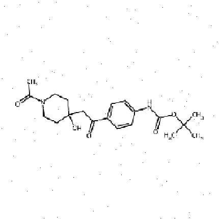 CC(=O)N1CCC(O)(CC(=O)c2ccc(NC(=O)OC(C)(C)C)cc2)CC1